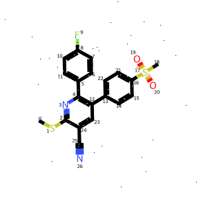 CSc1nc(-c2ccc(F)cc2)c(-c2ccc(S(C)(=O)=O)cc2)cc1C#N